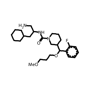 COCCCOC(c1ccccc1F)C1CCCN(C(=O)NC(CN)CC2CCCCC2)C1